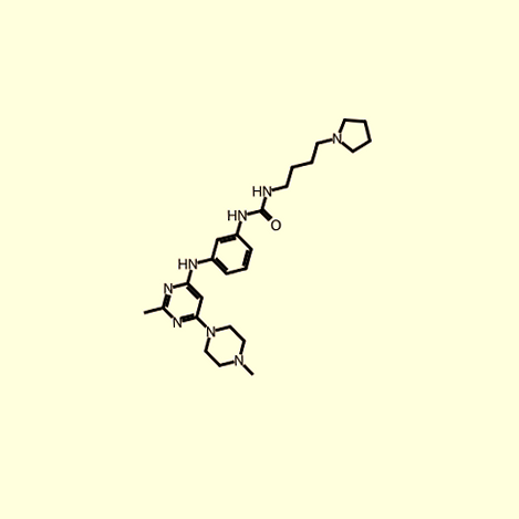 Cc1nc(Nc2cccc(NC(=O)NCCCCN3CCCC3)c2)cc(N2CCN(C)CC2)n1